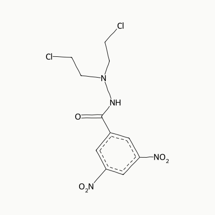 O=C(NN(CCCl)CCCl)c1cc([N+](=O)[O-])cc([N+](=O)[O-])c1